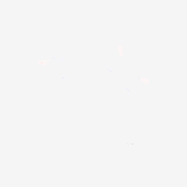 CSCc1ccc2ccc3c(c2c1)NC(=O)CC(=O)N3c1cccc(/C(N)=N/O)c1